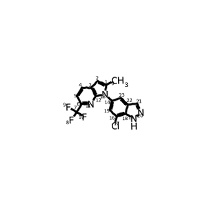 Cc1cc2ccc(C(F)(F)F)nc2n1-c1cc(Cl)c2[nH]ncc2c1